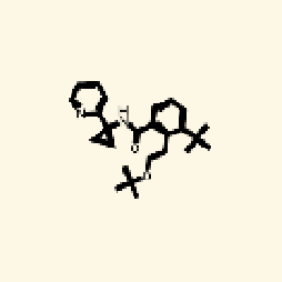 CC(C)(C)OCCc1c(C(=O)NC2(c3ccccn3)CC2)cccc1C(C)(C)C